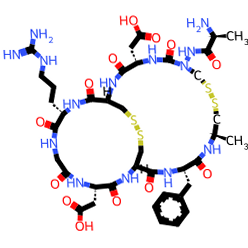 C[C@@H]1CSSCN(NC(=O)[C@H](C)N)C(=O)N[C@@H](CC(=O)O)C(=O)N[C@H]2CSSC[C@H](NC(=O)[C@H](CC(=O)O)NC(=O)CNC(=O)[C@H](CCCNC(=N)N)NC2=O)C(=O)N[C@@H](Cc2ccccc2)C(=O)N1